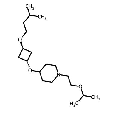 CC(C)CCO[C@H]1C[C@H](OC2CCN(CCOC(C)C)CC2)C1